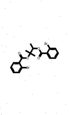 CC(OC(=O)c1ccccc1Br)C(C)(C)OC(=O)c1ccccc1Br